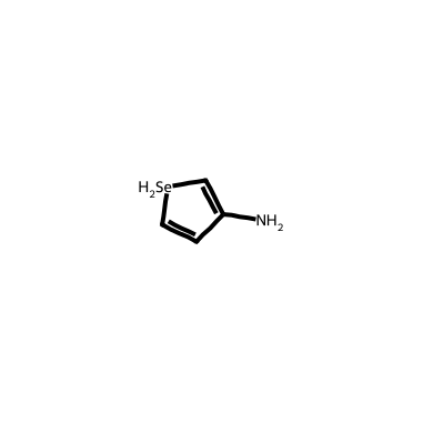 NC1=C[SeH2]C=C1